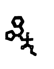 CCOC(=O)C(C)(F)CN(Cc1ccccc1)C1CCCC1